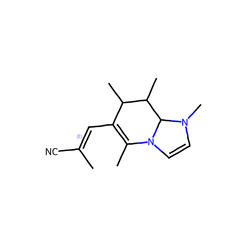 CC1=C(/C=C(\C)C#N)C(C)C(C)C2N(C)C=CN12